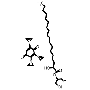 CCCCCCCCCCCCCCCCC(O)C(=O)OC(CO)CO.O=C1C=C(N2CC2)C(=O)C(N2CC2)=C1N1CC1